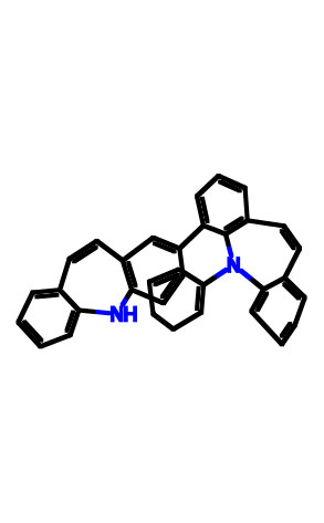 C1=CC(N2c3ccccc3C=Cc3cccc(-c4ccc5c(c4)C=Cc4ccccc4N5)c32)=CCC1